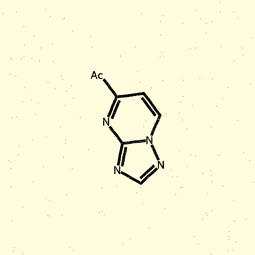 CC(=O)c1ccn2ncnc2n1